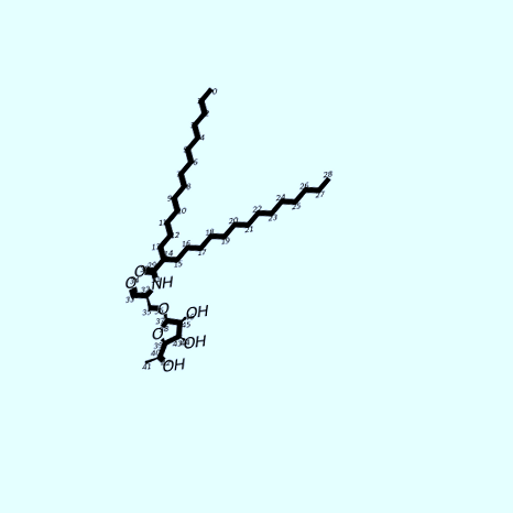 CCCCCCCCCCCCCCC(CCCCCCCCCCCCCC)C(=O)N[C@H]([C]=O)CO[C@@H]1O[C@H]([C@H](C)O)[C@@H](O)[C@@H]1O